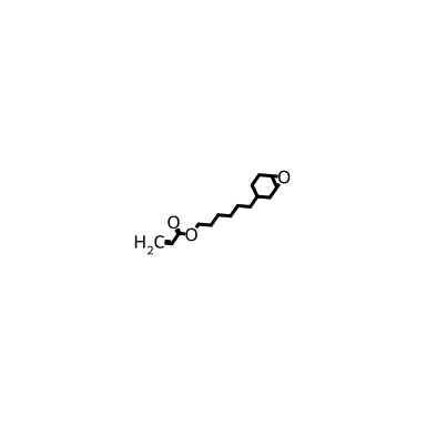 C=CC(=O)OCCCCCCC1CCC2OC2C1